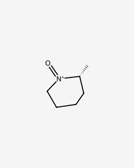 C[C@@H]1CCCC[N+]1=O